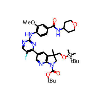 COc1cc(C(=O)NC2CCOCC2)ccc1Nc1ncc(F)c(-c2cnc3c(c2)C(C)(CO[Si](C)(C)C(C)(C)C)CN3C(=O)OC(C)(C)C)n1